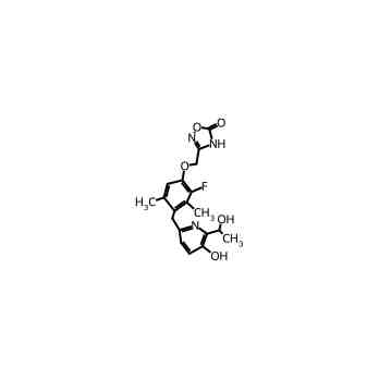 Cc1cc(OCc2noc(=O)[nH]2)c(F)c(C)c1Cc1ccc(O)c(C(C)O)n1